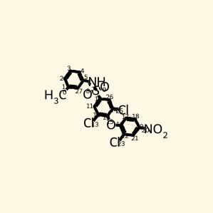 Cc1cccc(NS(=O)(=O)c2cc(Cl)c(Oc3ccc([N+](=O)[O-])cc3Cl)c(Cl)c2)c1